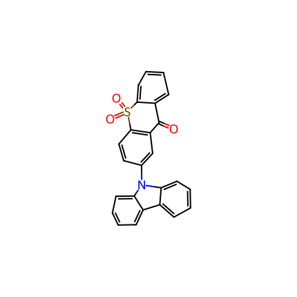 O=C1c2ccccc2S(=O)(=O)c2ccc(-n3c4ccccc4c4ccccc43)cc21